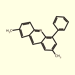 Cc1ccc2nc3c(-c4ccccc4)cc(C)cc3cc2c1